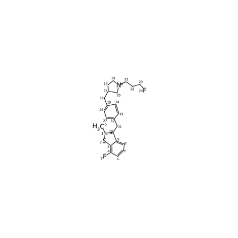 Cc1sc2c(F)cccc2c1Cc1ccc(CC2CCN(CCCF)C2)cc1